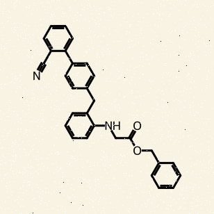 N#Cc1ccccc1-c1ccc(Cc2ccccc2NCC(=O)OCc2ccccc2)cc1